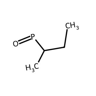 CCC(C)P=O